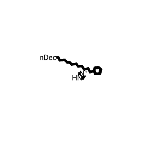 CCCCCCCCCCCCCCCCCCCC(CCc1ccccc1)[n+]1cc[nH]c1